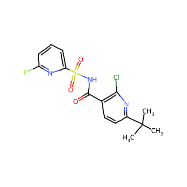 CC(C)(C)c1ccc(C(=O)NS(=O)(=O)c2cccc(F)n2)c(Cl)n1